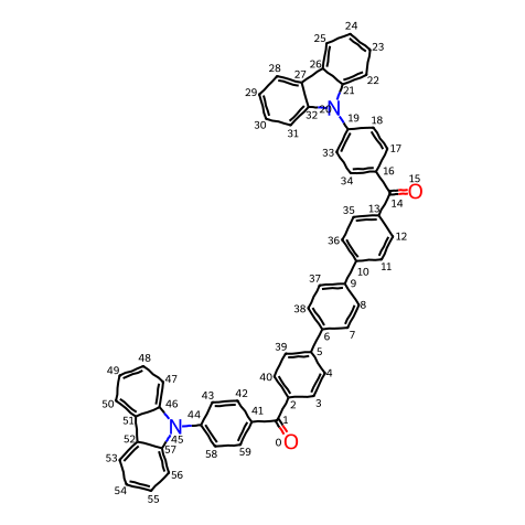 O=C(c1ccc(-c2ccc(-c3ccc(C(=O)c4ccc(-n5c6ccccc6c6ccccc65)cc4)cc3)cc2)cc1)c1ccc(-n2c3ccccc3c3ccccc32)cc1